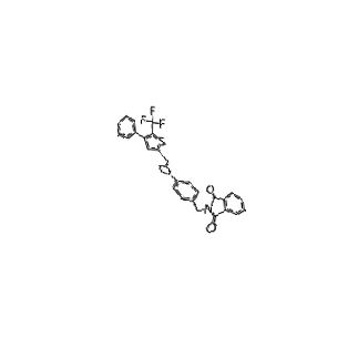 O=C1c2ccccc2C(=O)N1Cc1ccc(OCc2cc(-c3ccccc3)c(C(F)(F)F)s2)cc1